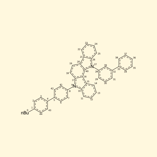 CCCCc1ccc(-c2ccc(-n3c4ccccc4c4c3ccc3c5ccccc5n(-c5cccc(-c6ccccc6)c5)c34)cc2)cc1